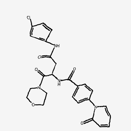 O=C(CC(NC(=O)c1ccc(-n2ccccc2=O)cc1)C(=O)N1CCOCC1)Nc1ccc(Cl)cc1